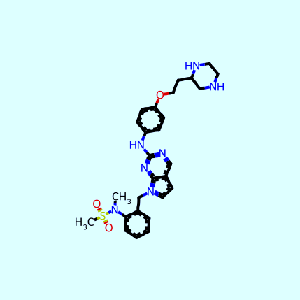 CN(c1ccccc1Cn1ccc2cnc(Nc3ccc(OCCC4CNCCN4)cc3)nc21)S(C)(=O)=O